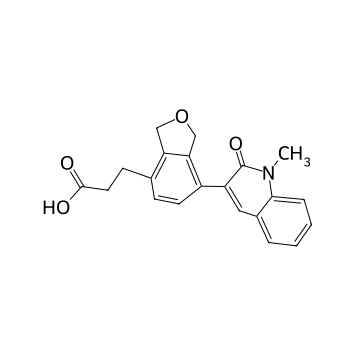 Cn1c(=O)c(-c2ccc(CCC(=O)O)c3c2COC3)cc2ccccc21